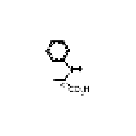 C[C@@H](C(=O)O)N(F)c1ccccc1